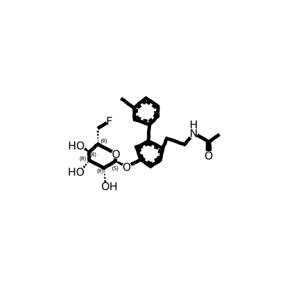 CC(=O)NCCc1ccc(O[C@@H]2O[C@@H](CF)[C@H](O)[C@@H](O)[C@H]2O)cc1-c1cccc(C)c1